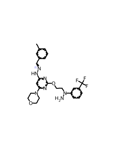 Cc1cccc(/C=N/Nc2cc(N3CCOCC3)nc(OCCN(N)c3cccc(C(F)(F)F)c3)n2)c1